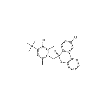 Cc1cc(C(C)(C)C)c(O)c(C)c1CP1(=O)Oc2ccccc2-c2cc(Cl)ccc21